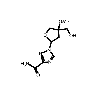 COC1(CO)COC(n2cnc(C(N)=O)n2)C1